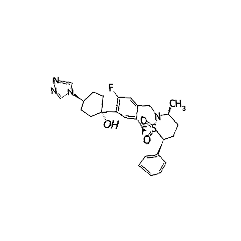 C[C@H]1CC[C@@H](c2ccccc2)S(=O)(=O)N1Cc1cc(F)c([C@]2(O)CC[C@H](n3cnnc3)CC2)cc1F